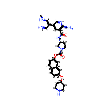 CN/C=C(\C=N)c1cnc(N)c(C(=O)N[C@@H]2CCN(C(=O)Oc3ccc4ccc(OC5CCNCC5)cc4c3)C2)c1